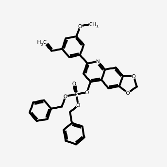 C=Cc1cc(OC)cc(-c2cc(OP(=O)(OCc3ccccc3)OCc3ccccc3)c3cc4c(cc3n2)OCO4)c1